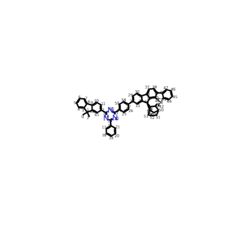 CC1(C)c2ccccc2-c2ccc(-c3nc(-c4ccccc4)nc(-c4ccc(-c5ccc6c(c5)C57c8c-6ccc6c8[Si](C)(c8ccccc8-6)C6C8CC(CC5C8)CC67)cc4)n3)cc21